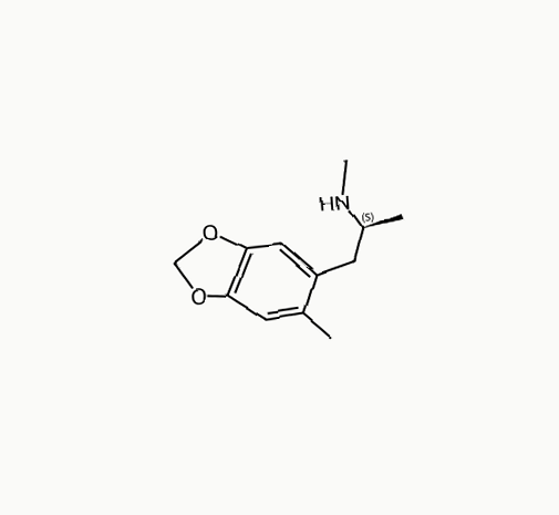 CN[C@@H](C)Cc1cc2c(cc1C)OCO2